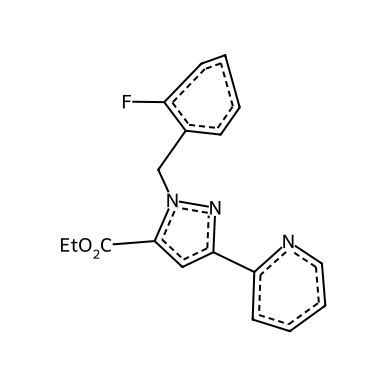 CCOC(=O)c1cc(-c2ccccn2)nn1Cc1ccccc1F